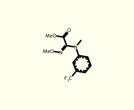 CON=C(C(=O)OC)N(C)c1cccc(C(F)(F)F)c1